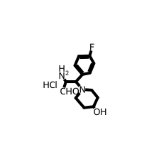 Cl.NC(C=O)C(c1ccc(F)cc1)N1CCC(O)CC1